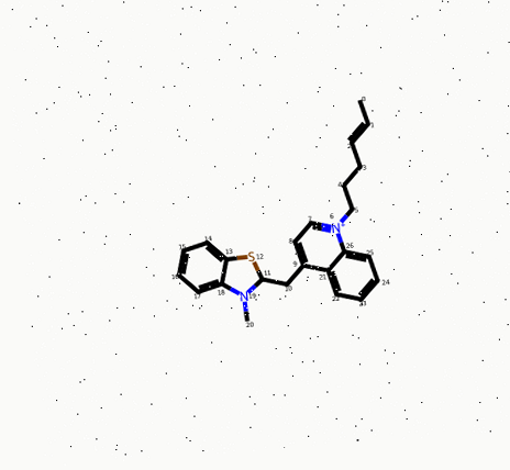 CC=CCCC[n+]1ccc(CC2Sc3ccccc3N2C)c2ccccc21